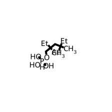 CCC(C)(CO[PH](O)(O)O)CC(C)(CC)C(C)=O